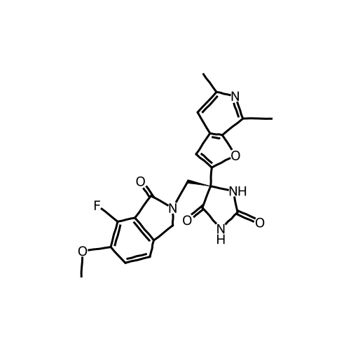 COc1ccc2c(c1F)C(=O)N(C[C@@]1(c3cc4cc(C)nc(C)c4o3)NC(=O)NC1=O)C2